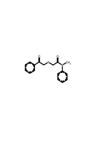 CN(C(=O)CSCC(=O)c1ccccc1)c1ccccc1